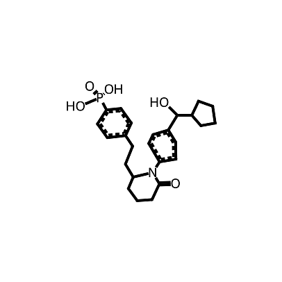 O=C1CCCC(CCc2ccc(P(=O)(O)O)cc2)N1c1ccc(C(O)C2CCCC2)cc1